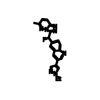 CCn1cc(-c2cnc3ccc(C(F)c4nnc5ccc(C)nn45)cc3c2)cn1